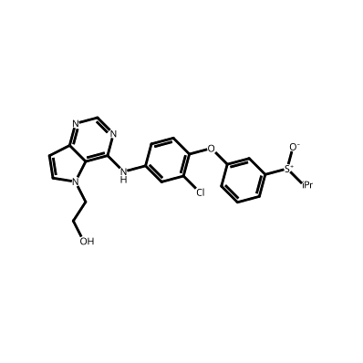 CC(C)[S+]([O-])c1cccc(Oc2ccc(Nc3ncnc4ccn(CCO)c34)cc2Cl)c1